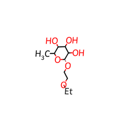 CCOCCO[C@@H]1OC(C)[C@@H](O)C(O)C1O